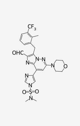 Cc1c(Cc2c(C=O)nc3c(-c4cn(S(=O)(=O)N(C)C)cn4)cc(N4CCOCC4)nn23)cccc1C(F)(F)F